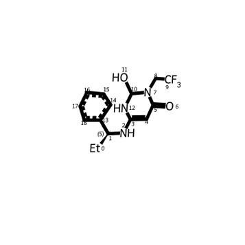 CC[C@H](NC1=CC(=O)N(CC(F)(F)F)C(O)N1)c1ccccc1